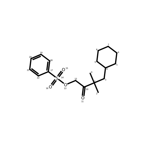 CC(C)(CC1CCCCC1)C(=O)COS(=O)(=O)c1ccccc1